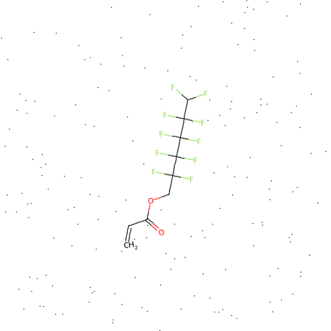 C=CC(=O)OCC(F)(F)C(F)(F)C(F)(F)C(F)(F)C(F)F